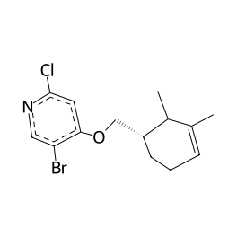 CC1=CCC[C@H](COc2cc(Cl)ncc2Br)C1C